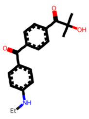 CCNc1ccc(C(=O)c2ccc(C(=O)C(C)(C)O)cc2)cc1